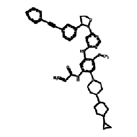 C=CC(=O)Nc1cc(Nc2cc(N3OCCC3c3cccc(C#Cc4ccccc4)c3)ncn2)c(OC)cc1N1CCC(N2CCN(C3CC3)CC2)CC1